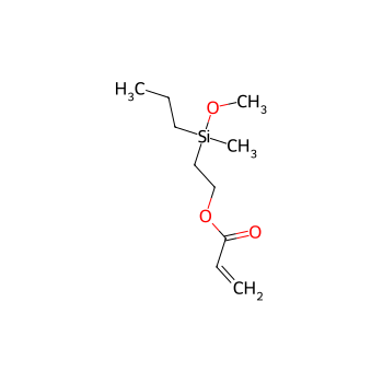 C=CC(=O)OCC[Si](C)(CCC)OC